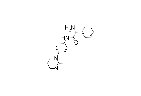 CC1=NCCCN1c1ccc(NC(=O)C(N)c2ccccc2)cc1